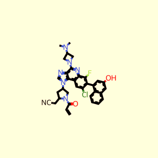 C=CC(=O)N1CC(n2cnc3c(N4CC(N(C)C)C4)nc4c(F)c(-c5cc(O)cc6ccccc56)c(Cl)cc4c32)CC1CC#N